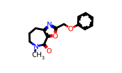 CN1CCCc2nc(COc3ccccc3)oc2C1=O